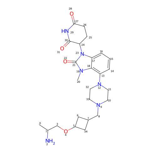 CC(N)COC1CC(CN2CCN(c3cccc4c3n(C)c(=O)n4C3CCC(=O)NC3=O)CC2)C1